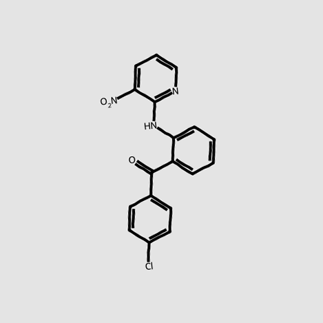 O=C(c1ccc(Cl)cc1)c1ccccc1Nc1ncccc1[N+](=O)[O-]